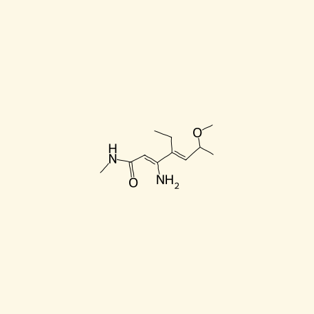 CCC(=C\C(C)OC)/C(N)=C/C(=O)NC